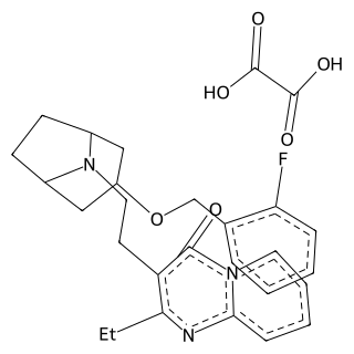 CCc1nc2ccccn2c(=O)c1CCN1C2CCC1CC(OCc1ccccc1F)C2.O=C(O)C(=O)O